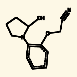 N#CCOc1ccccc1N1CCCC1O